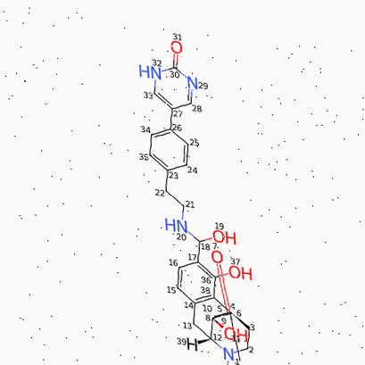 CN1CC[C@]23CC(=O)CC[C@@]2(O)[C@H]1Cc1ccc(C(O)NCCc2ccc(-c4cnc(=O)[nH]c4)cc2)c(O)c13